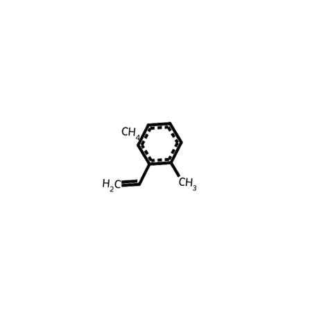 C.C=Cc1ccccc1C